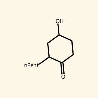 CCCCCC1CC(O)CCC1=O